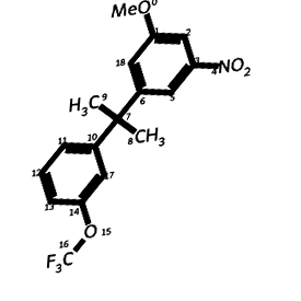 COc1cc([N+](=O)[O-])cc(C(C)(C)c2cccc(OC(F)(F)F)c2)c1